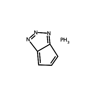 C1=CC2=NN=NC2=C1.P